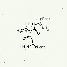 CCCCCC(N)CC(=O)N(C(=O)C[C@@H](N)CCCCC)[C@@H](C)C(=O)O